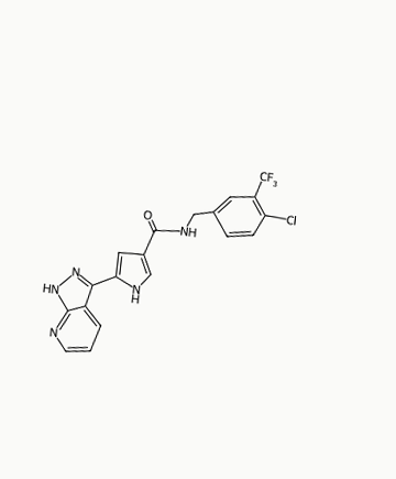 O=C(NCc1ccc(Cl)c(C(F)(F)F)c1)c1c[nH]c(-c2n[nH]c3ncccc23)c1